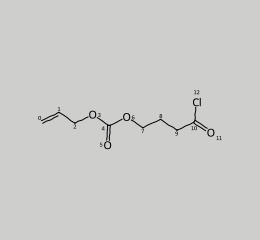 C=CCOC(=O)OCCCC(=O)Cl